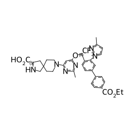 CCOC(=O)c1ccc(-c2ccc([C@@H](Oc3cc(N4CCC5(CC4)CN[C@H](C(=O)O)C5)nc(C)n3)C(F)(F)F)c(-n3ccc(C)n3)c2)cc1